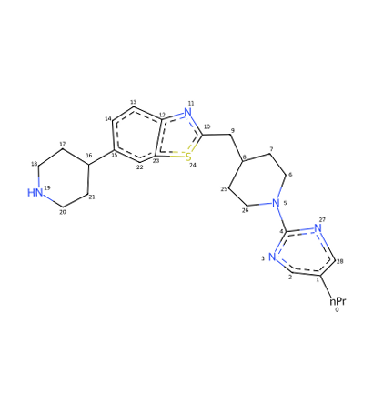 CCCc1cnc(N2CCC(Cc3nc4ccc(C5CCNCC5)cc4s3)CC2)nc1